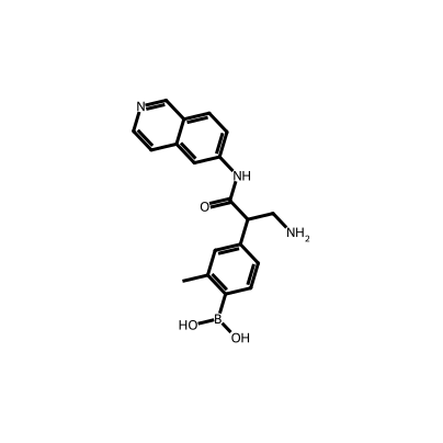 Cc1cc(C(CN)C(=O)Nc2ccc3cnccc3c2)ccc1B(O)O